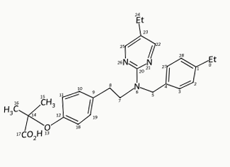 CCc1ccc(CN(CCc2ccc(OC(C)(C)C(=O)O)cc2)c2ncc(CC)cn2)cc1